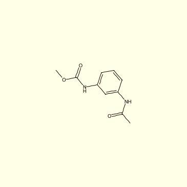 COC(=O)Nc1cccc(NC(C)=O)c1